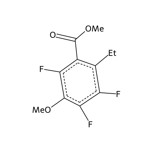 CCc1c(F)c(F)c(OC)c(F)c1C(=O)OC